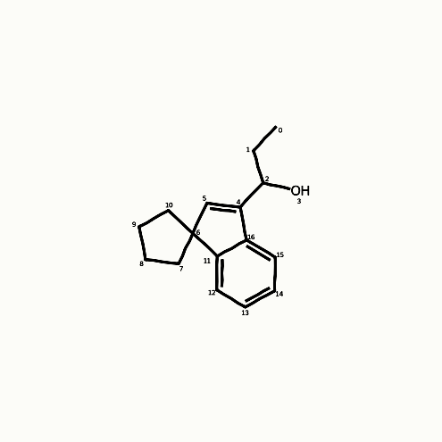 CCC(O)C1=CC2(CCCC2)c2ccccc21